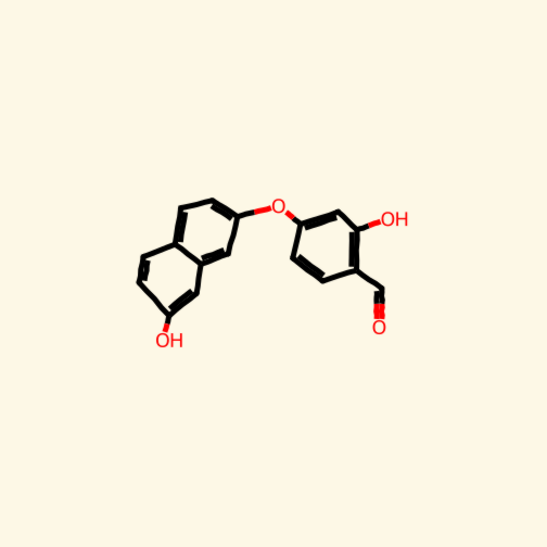 O=Cc1ccc(Oc2ccc3ccc(O)cc3c2)cc1O